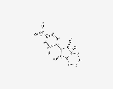 O=C1C2CCCCC2(Cl)C(=O)N1c1ccc([N+](=O)[O-])cc1F